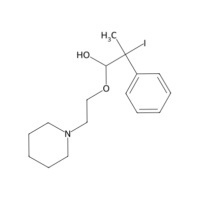 CC(I)(c1ccccc1)C(O)OCCN1CCCCC1